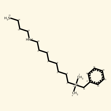 C[N+](C)(CCCCCCCCNCCC[SiH3])Cc1ccccc1